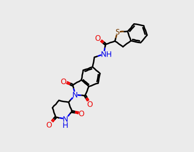 O=C1CCC(N2C(=O)c3ccc(CNC(=O)C4Cc5ccccc5S4)cc3C2=O)C(=O)N1